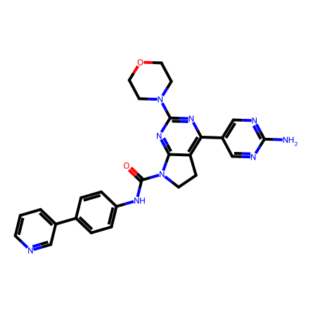 Nc1ncc(-c2nc(N3CCOCC3)nc3c2CCN3C(=O)Nc2ccc(-c3cccnc3)cc2)cn1